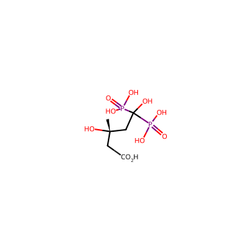 C[C@](O)(CC(=O)O)CC(O)(P(=O)(O)O)P(=O)(O)O